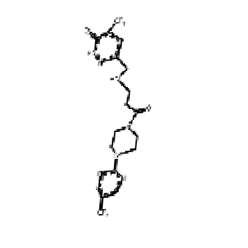 O=C(CCNCc1cc(C(F)(F)F)c(=O)[nH]n1)N1CCN(c2ncc(C(F)(F)F)cn2)CC1